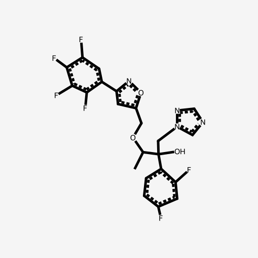 CC(OCc1cc(-c2cc(F)c(F)c(F)c2F)no1)C(O)(Cn1cncn1)c1ccc(F)cc1F